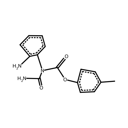 Cc1ccc(OC(=O)N(C(N)=O)c2ccccc2N)cc1